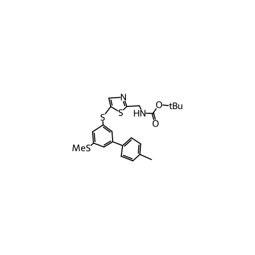 CSc1cc(Sc2cnc(CNC(=O)OC(C)(C)C)s2)cc(-c2ccc(C)cc2)c1